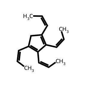 C/C=C\C1=C(/C=C\C)C(/C=C\C)=C(/C=C\C)C1